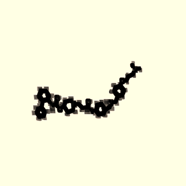 CN(C)CCCOc1ccc(CNCc2ccc(NC(=O)CCN3CCC(OC(=O)Nc4ccccc4-c4ccccc4)CC3)cc2)cc1